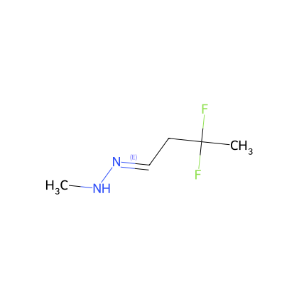 CN/N=C/CC(C)(F)F